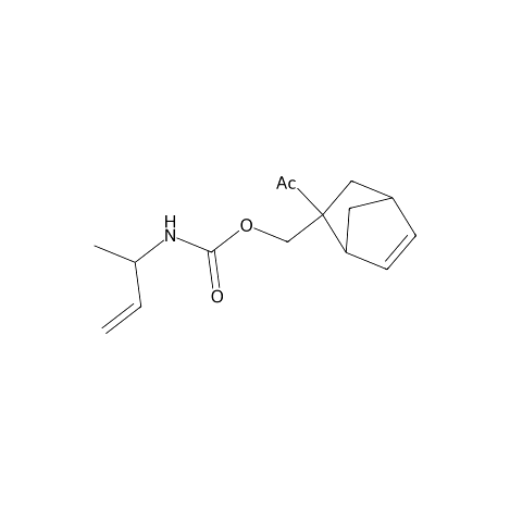 C=CC(C)NC(=O)OCC1(C(C)=O)CC2C=CC1C2